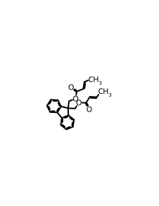 CC=CC(=O)OCC1(COC(=O)C=CC)c2ccccc2-c2ccccc21